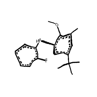 COc1c(C)cc(C(C)(C)C)cc1Pc1ccccc1F